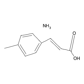 Cc1ccc(C=CC(=O)O)cc1.N